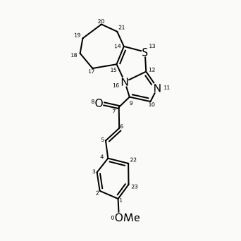 COc1ccc(C=CC(=O)c2cnc3sc4c(n23)CCCCC4)cc1